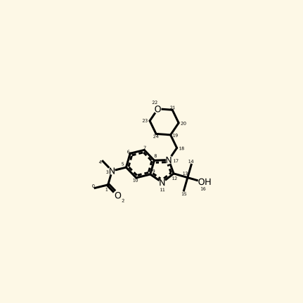 CC(=O)N(C)c1ccc2c(c1)nc(C(C)(C)O)n2CC1CCOCC1